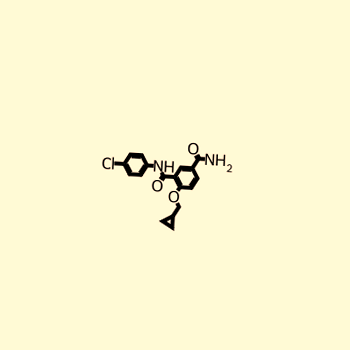 NC(=O)c1ccc(OCC2CC2)c(C(=O)Nc2ccc(Cl)cc2)c1